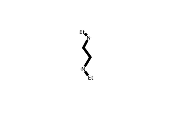 CC[N]CC[N]CC